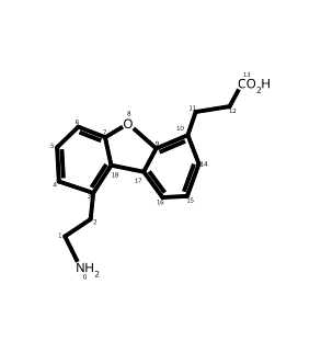 NCCc1cccc2oc3c(CCC(=O)O)cccc3c12